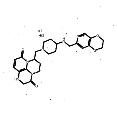 Cl.Cl.O=C1CNc2ccc(=O)n3c2N1CCC3CN1CCC(NCc2cc3c(cn2)OCCS3)CC1